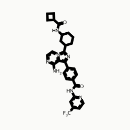 Nc1nccn2c(C3CCCC(NC(=O)C4CCC4)C3)nc(-c3ccc(C(=O)Nc4cc(C(F)(F)F)ccn4)cc3)c12